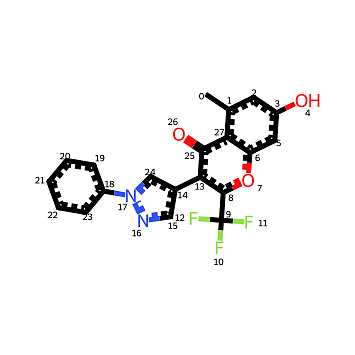 Cc1cc(O)cc2oc(C(F)(F)F)c(-c3cnn(-c4ccccc4)c3)c(=O)c12